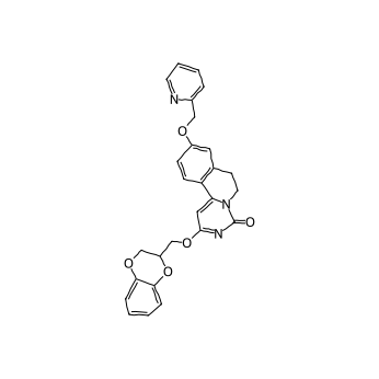 O=c1nc(OCC2COc3ccccc3O2)cc2n1CCc1cc(OCc3ccccn3)ccc1-2